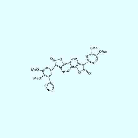 COc1ccc(C2=c3ccc4c5c(ccc4c3OC2=O)=C(c2cc(OC)c(OC)c(-c3cccs3)c2)C(=O)O5)cc1OC